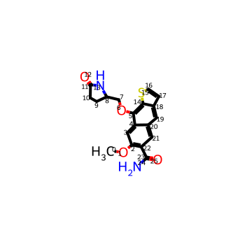 COc1cc2c(OCC3CCC(=O)N3)c3sccc3cc2cc1C(N)=O